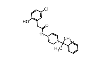 CC(C)(c1ccccn1)N1C=CC(NC(=O)Cc2cc(Cl)ccc2O)=CC1